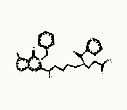 CCC(CCCCN(CCC(N)=O)C(=O)c1cccnc1)c1nc2onc(C)c2c(=O)n1Cc1ccccc1